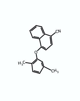 Cc1ccc(C)c(Oc2ccc(C#N)c3ccccc23)c1